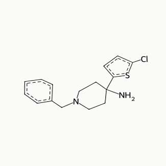 NC1(c2ccc(Cl)s2)CCN(Cc2ccccc2)CC1